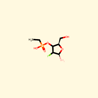 B[C@@H]1O[C@H](CO)C(OP(=O)(O)C[SiH3])C1F